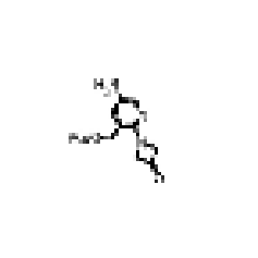 Bc1cnc(N2CC(=O)C2)c(COC)c1